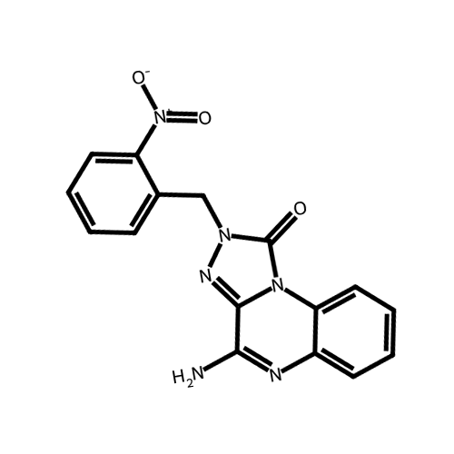 Nc1nc2ccccc2n2c(=O)n(Cc3ccccc3[N+](=O)[O-])nc12